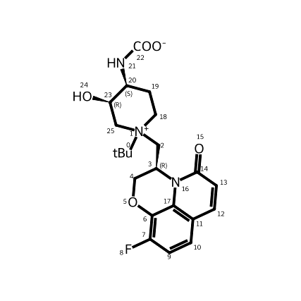 CC(C)(C)[N+]1(C[C@@H]2COc3c(F)ccc4ccc(=O)n2c34)CC[C@H](NC(=O)[O-])[C@H](O)C1